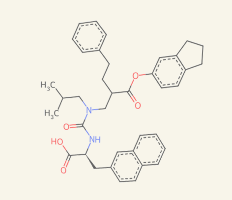 CC(C)CN(CC(CCc1ccccc1)C(=O)Oc1ccc2c(c1)CCC2)C(=O)N[C@@H](Cc1ccc2ccccc2c1)C(=O)O